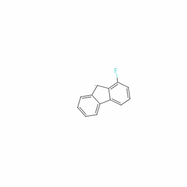 Fc1cccc2c1[CH]c1ccccc1-2